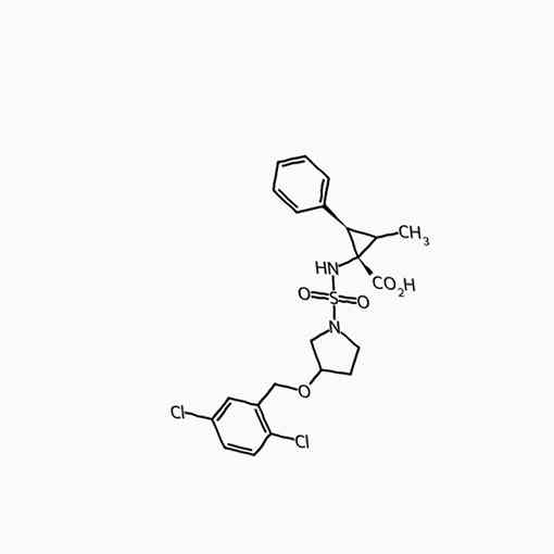 CC1[C@H](c2ccccc2)[C@]1(NS(=O)(=O)N1CCC(OCc2cc(Cl)ccc2Cl)C1)C(=O)O